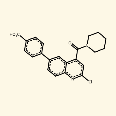 O=C(O)c1ccc(-c2ccc3nc(Cl)cc(C(=O)N4CCCCC4)c3c2)cc1